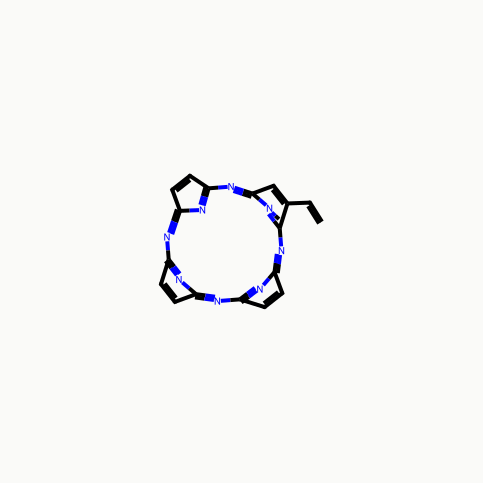 C=CC1=CC2=NC3=NC(=NC4=NC(=NC5=NC(=NC1=N2)C=C5)C=C4)C=C3